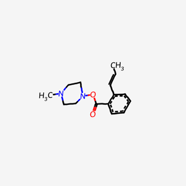 C/C=C/c1ccccc1C(=O)ON1CCN(C)CC1